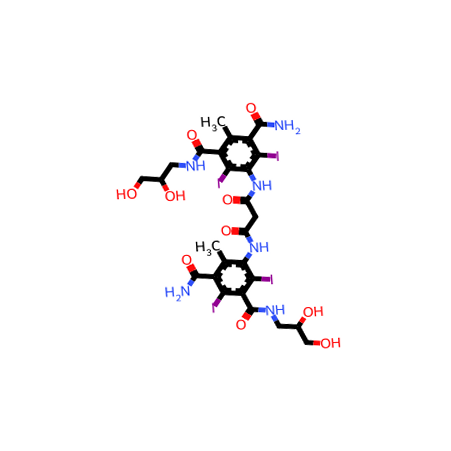 Cc1c(C(N)=O)c(I)c(NC(=O)CC(=O)Nc2c(C)c(C(N)=O)c(I)c(C(=O)NCC(O)CO)c2I)c(I)c1C(=O)NCC(O)CO